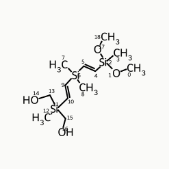 CO[Si](C)(C=C[Si](C)(C)C=C[Si](C)(CO)CO)OC